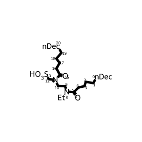 CCCCCCCCCCCCCCC(=O)N(CC)CCN(CS(=O)(=O)O)C(=O)CCCCCCCCCCCCCC